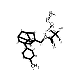 CC1CCC(C23CC4CC(CC(COC(=O)C(F)(F)SOOO)(C4)C2)C3)CC1